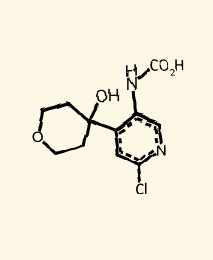 O=C(O)Nc1cnc(Cl)cc1C1(O)CCOCC1